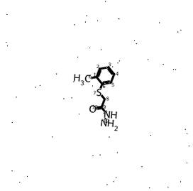 Cc1ccccc1SCC(=O)NN